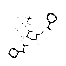 CC(C)(C)[Si](C)(C)OC1OC(COC(=O)c2ccccc2)[C@@H](O)[C@H](OC(=O)C(=O)c2ccccc2)[C@@H]1N=[N+]=[N-]